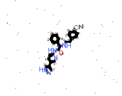 N#Cc1ccc(CCNC(C(=O)Nc2ccc(-c3cn[nH]c3)cn2)c2ccccc2)cc1